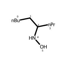 CCCCCC(CCC)NO